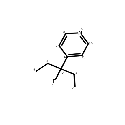 CCC(F)(CC)c1ccncc1